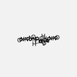 Cc1c(NC(=O)c2ccc3c(n2)CCN(CCN2CCOCC2)C3)cccc1-c1cccc(NC(=O)c2ccc3c(n2)CCN(CCN2CCOCC2)C3)c1C